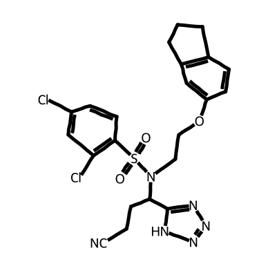 N#CCCC(c1nnn[nH]1)N(CCOc1ccc2c(c1)CCC2)S(=O)(=O)c1ccc(Cl)cc1Cl